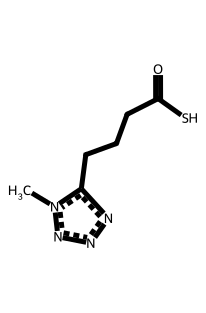 Cn1nnnc1CCCC(=O)S